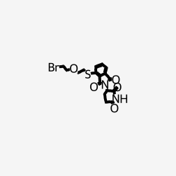 O=C1CCC(N2C(=O)c3cccc(SCCOCCBr)c3C2=O)C(=O)N1